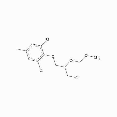 COCOC(CCl)COc1c(Cl)cc(I)cc1Cl